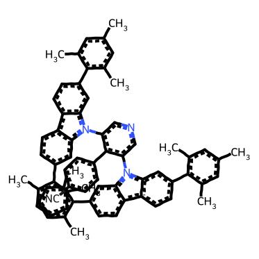 Cc1cc(C)c(-c2ccc3c4ccc(-c5c(C)cccc5C)cc4n(-c4cncc(-n5c6cc(-c7c(C)cccc7C)ccc6c6ccc(-c7c(C)cc(C)cc7C)cc65)c4-c4ccc(C#N)cc4)c3c2)c(C)c1